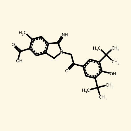 Cc1cc2c(cc1C(=O)O)CN(CC(=O)c1cc(C(C)(C)C)c(O)c(C(C)(C)C)c1)C2=N